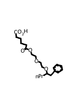 CCCC(Cc1ccccc1)OCCOCCOC(=O)CCCCC(=O)O